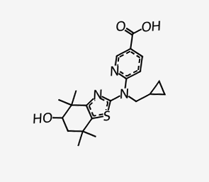 CC1(C)CC(O)C(C)(C)c2nc(N(CC3CC3)c3ccc(C(=O)O)cn3)sc21